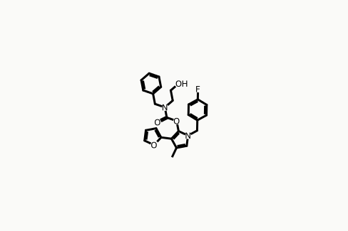 Cc1cn(Cc2ccc(F)cc2)c(OC(=O)N(CCO)Cc2ccccc2)c1-c1ccco1